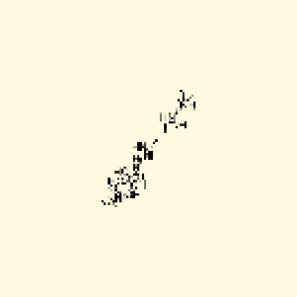 CCC(C)(CC)NCCNC(=N)CCCCCCC(=N)NCCNC(=O)[C@H](O)[C@@H](O)[C@@H](O)[C@H](O)C(=O)NC(C)(CC)CC